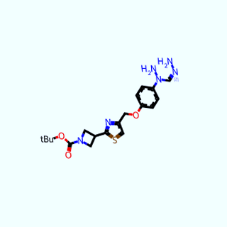 CC(C)(C)OC(=O)N1CC(c2nc(COc3ccc(N(N)/C=N\N)cc3)cs2)C1